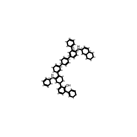 Oc1c(C2=CCCC=C2)cccc1C1CCC(C2=CC(C3C=CC(c4ccc(NC5C=CC6CCCCC6C5)c(C5=CC=CCC5)c4)=CC3)=CCC2)=C(NC2C=CC=CC2)C1